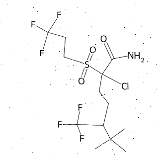 CC(C)(C)C(CCC(Cl)(C(N)=O)S(=O)(=O)CCC(F)(F)F)C(F)(F)F